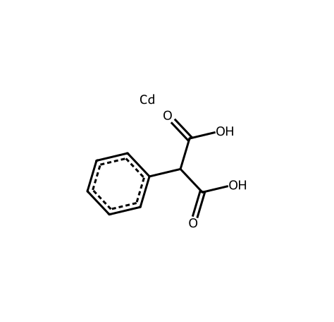 O=C(O)C(C(=O)O)c1ccccc1.[Cd]